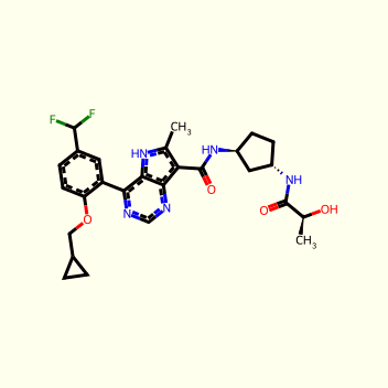 Cc1[nH]c2c(-c3cc(C(F)F)ccc3OCC3CC3)ncnc2c1C(=O)N[C@H]1CC[C@H](NC(=O)[C@H](C)O)C1